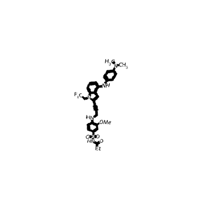 CCC(=O)NS(=O)(=O)c1ccc(NCC#Cc2cc3c(Nc4ccc(N(C)C)cc4)cccc3n2CC(F)(F)F)c(OC)c1